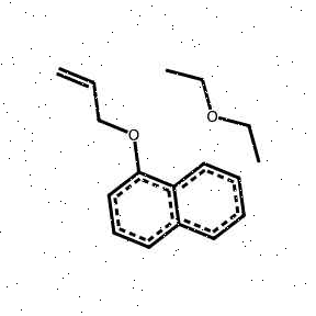 C=CCOc1cccc2ccccc12.CCOCC